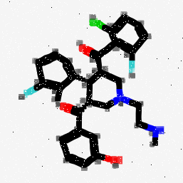 CNCCN1C[C@H](C(=O)c2cccc(O)c2)[C@H](c2cccc(F)c2C)[C@@H](C(=O)c2c(F)cccc2Cl)C1